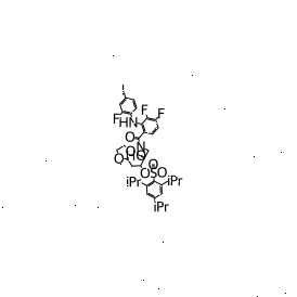 CC(C)c1cc(C(C)C)c(S(=O)(=O)OC(CC2OCCO2)C2(O)CN(C(=O)c3ccc(F)c(F)c3Nc3ccc(I)cc3F)C2)c(C(C)C)c1